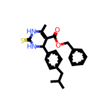 CC1=C(C(=O)OCc2ccccc2)C(c2ccc(CC(C)C)cc2)NC(=S)N1